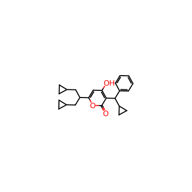 O=c1oc(C(CC2CC2)CC2CC2)cc(O)c1C(c1ccccc1)C1CC1